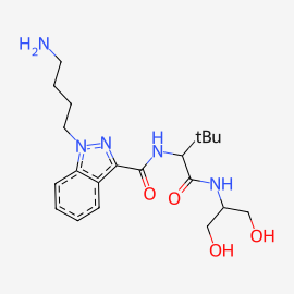 CC(C)(C)C(NC(=O)c1nn(CCCCN)c2ccccc12)C(=O)NC(CO)CO